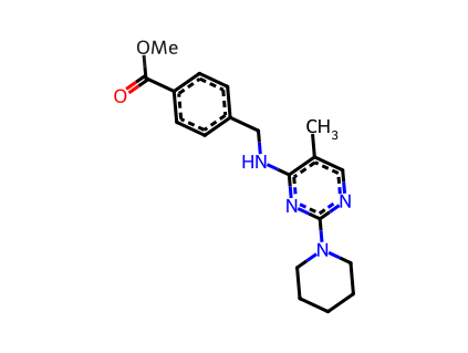 COC(=O)c1ccc(CNc2nc(N3CCCCC3)ncc2C)cc1